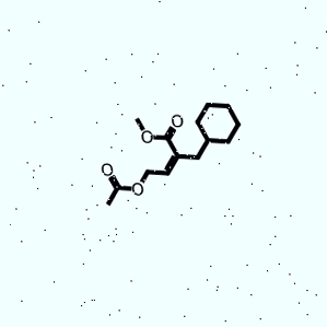 COC(=O)C(=CCOC(C)=O)CC1CCCCC1